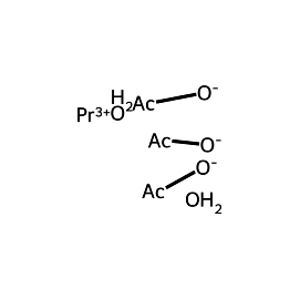 CC(=O)[O-].CC(=O)[O-].CC(=O)[O-].O.O.[Pr+3]